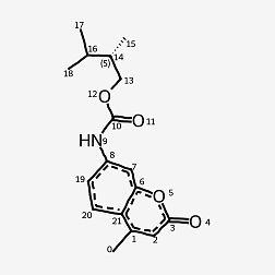 Cc1cc(=O)oc2cc(NC(=O)OC[C@@H](C)C(C)C)ccc12